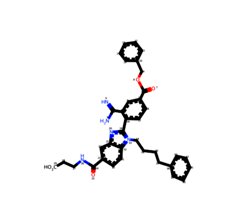 N=C(N)c1cc(C(=O)OCc2ccccc2)ccc1-c1nc2cc(C(=O)NCCC(=O)O)ccc2n1CCCCc1ccccc1